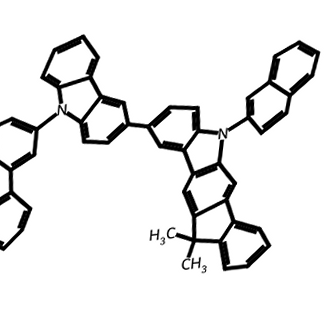 CC1(C)c2ccccc2-c2cc3c(cc21)c1cc(-c2ccc4c(c2)c2ccccc2n4-c2cccc(-c4ccccc4)c2)ccc1n3-c1ccc2ccccc2c1